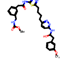 CC(C)(C)OC(=O)NCc1cccc(CC(=O)Nc2nnc(CCCCc3ccc(NC(O)Cc4cccc(OC(F)(F)F)c4)nn3)s2)c1